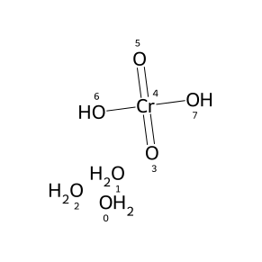 O.O.O.[O]=[Cr](=[O])([OH])[OH]